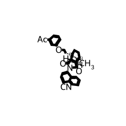 CC(=O)c1cccc(OCC[C@]23CC[C@](C)(O2)[C@@H]2C(=O)N(c4ccc(C#N)c5ccccc45)C(=O)[C@@H]23)c1